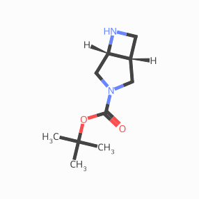 CC(C)(C)OC(=O)N1C[C@H]2CN[C@H]2C1